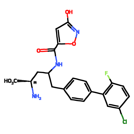 N[C@H](CC(Cc1ccc(-c2cc(Cl)ccc2F)cc1)NC(=O)c1cc(O)no1)C(=O)O